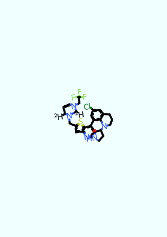 [2H]C1C=CN(CC(F)(F)F)[C@@H]([2H])N1Cc1cc2nccc(-c3cc(Cl)cc4c3N(C3CCNC3)CCC4)c2s1